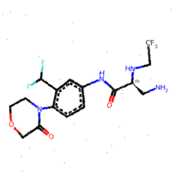 NC[C@H](NCC(F)(F)F)C(=O)Nc1ccc(N2CCOCC2=O)c(C(F)F)c1